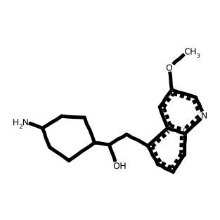 COc1cnc2cccc(CC(O)C3CCC(N)CC3)c2c1